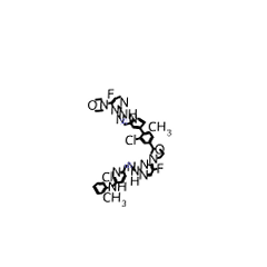 Cc1cccc(Cl)c1Nc1ccc(/C=N\Nc2ncc(F)c(N3CCOC(c4cc(C)c(-c5ccnc(/C=N\Nc6ncc(F)c(N7CCOCC7)n6)c5)c(Cl)c4)C3)n2)nc1